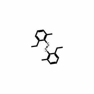 CCc1cccc(C)c1SSc1c(C)cccc1CC